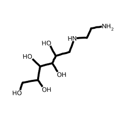 NCCNCC(O)C(O)C(O)C(O)CO